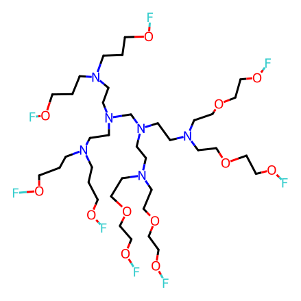 FOCCCN(CCCOF)CCN(CCN(CCCOF)CCCOF)CN(CCN(CCOCCOF)CCOCCOF)CCN(CCOCCOF)CCOCCOF